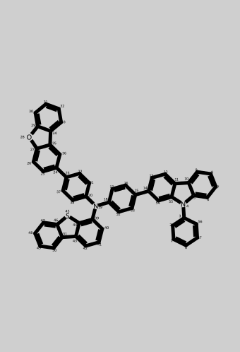 c1ccc(-n2c3ccccc3c3ccc(-c4ccc(N(c5ccc(-c6ccc7oc8ccccc8c7c6)cc5)c5cccc6c5sc5ccccc56)cc4)cc32)cc1